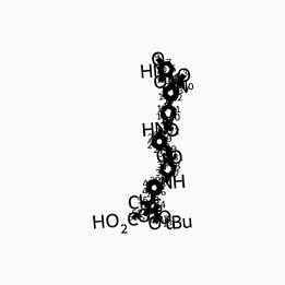 Cn1c(=O)n(C2CCC(=O)NC2=O)c2ccc(C3CCN(C(=O)Nc4cccc(CS(=O)(=O)N5CCC(Nc6cccc(-c7sc(C(=O)OC(C)(C)C)c(OCC(=O)O)c7Cl)c6)CC5)c4)CC3)cc21